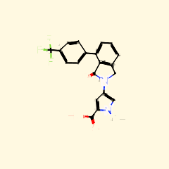 Cn1cc(N2Cc3cccc(-c4ccc(C(F)(F)F)cc4)c3C2=O)cc1C(=O)O